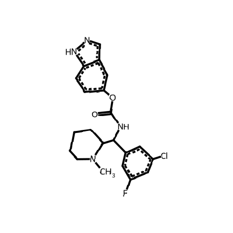 CN1CCCCC1C(NC(=O)Oc1ccc2[nH]ncc2c1)c1cc(F)cc(Cl)c1